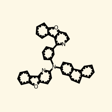 c1cc(-c2nccc3oc4ccccc4c23)cc(N(c2ccc3c(ccc4ccccc43)c2)c2ccc3oc4ccccc4c3n2)c1